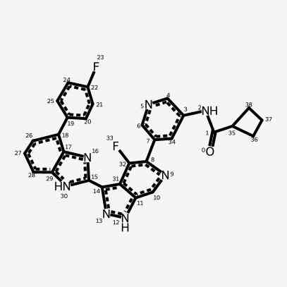 O=C(Nc1cncc(-c2ncc3[nH]nc(-c4nc5c(-c6ccc(F)cc6)cccc5[nH]4)c3c2F)c1)C1CCC1